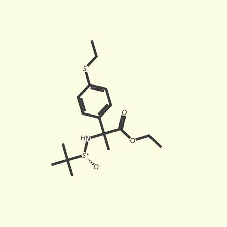 CCOC(=O)C(C)(N[S@+]([O-])C(C)(C)C)c1ccc(SCC)cc1